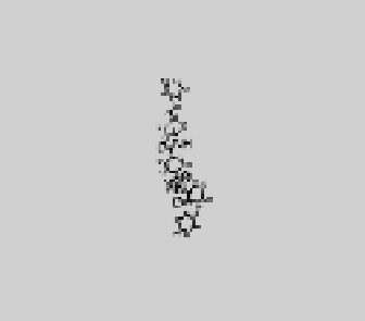 O=C(N[C@H]1CC[C@H](CCN2CCCC2)CC1)c1ccc(S(=O)(=O)Nc2ccccc2C(=O)c2ccccc2)cc1